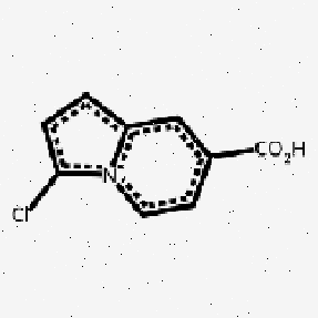 O=C(O)c1ccn2c(Cl)ccc2c1